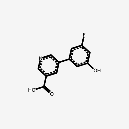 O=C(O)c1cncc(-c2cc(O)cc(F)c2)c1